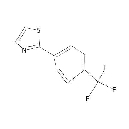 FC(F)(F)c1ccc(-c2n[c]cs2)cc1